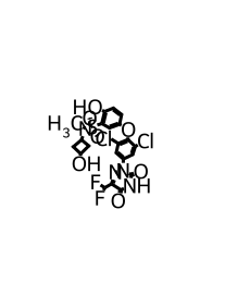 CN(C1CC(O)C1)S(=O)(=O)c1cc(Oc2c(Cl)cc(-n3nc(C(F)F)c(=O)[nH]c3=O)cc2Cl)ccc1O